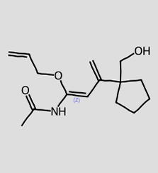 C=CCO/C(=C\C(=C)C1(CO)CCCC1)NC(C)=O